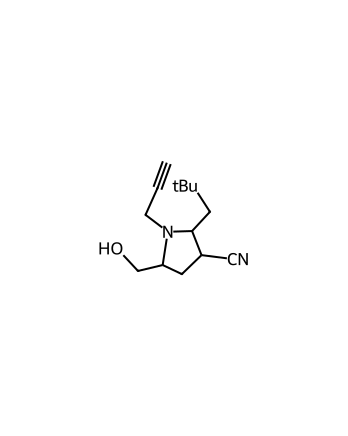 C#CCN1C(CO)CC(C#N)C1CC(C)(C)C